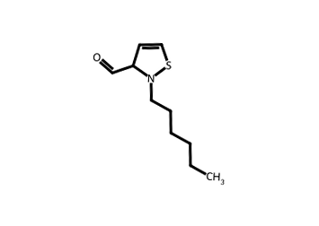 CCCCCCN1SC=CC1C=O